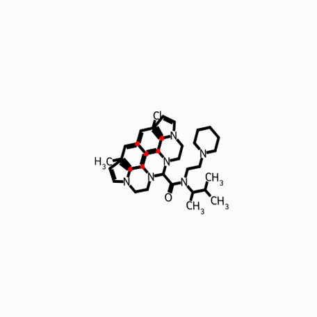 Cc1ccc(C2c3cccn3CCN2C(C(=O)N(CCN2CCCCC2)C(C)C(C)C)N2CCn3cccc3C2c2ccc(Cl)cc2)cc1